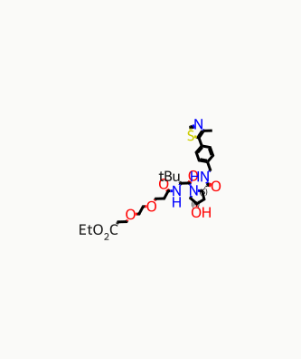 CCOC(=O)CCOCCOCCC(=O)NC(C(=O)N1C[C@H](O)C[C@H]1C(=O)NCc1ccc(-c2scnc2C)cc1)C(C)(C)C